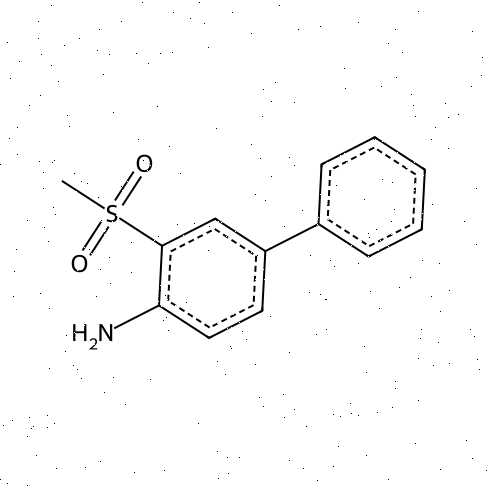 CS(=O)(=O)c1cc(-c2ccccc2)ccc1N